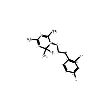 CC1(C)N=C(N)N=C(N)N1OCCc1ccc(F)cc1F